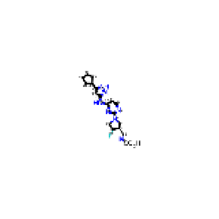 O=C(O)NC[C@@H]1CN(c2nccc(Nc3cc(C4CCCC4)[nH]n3)n2)C[C@@H]1F